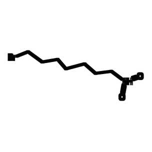 O=[SH](=O)CCCCCCCBr